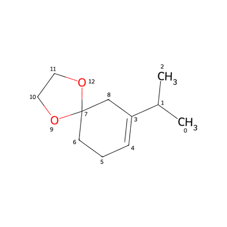 CC(C)C1=CCCC2(C1)OCCO2